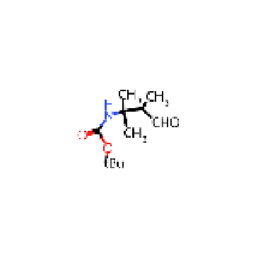 CC(C=O)C(C)(C)NC(=O)OC(C)(C)C